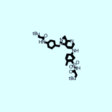 Cc1ccc(Nc2cnc3cnn(CC4CCC(NC(=O)CC(C)(C)C)CC4)c3c2)cc1S(=O)(=O)NC(=O)CC(C)(C)C